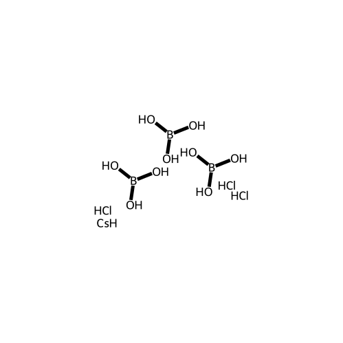 Cl.Cl.Cl.OB(O)O.OB(O)O.OB(O)O.[CsH]